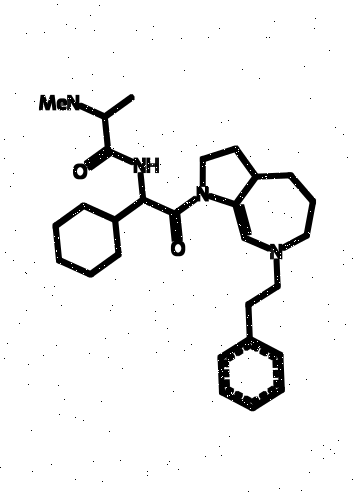 CNC(C)C(=O)NC(C(=O)N1CCC2CCCN(CCc3ccccc3)C=C21)C1CCCCC1